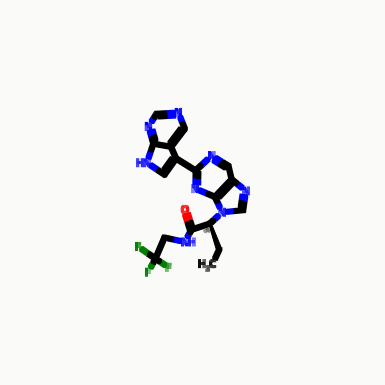 CC[C@@H](C(=O)NCC(F)(F)F)n1cnc2cnc(-c3c[nH]c4ncncc34)nc21